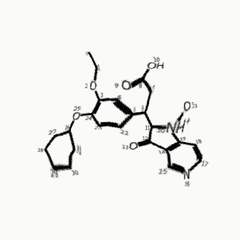 CCOc1cc(C(CC(=O)O)C2C(=O)c3cnccc3[NH+]2[O-])ccc1OC1CCCCC1